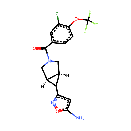 Nc1cc(C2[C@H]3CN(C(=O)c4ccc(OC(F)(F)F)c(Cl)c4)C[C@@H]23)no1